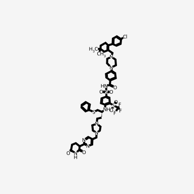 CC1(C)CCC(c2ccc(Cl)cc2)=C(CN2CCN(c3ccc(C(=O)NS(=O)(=O)c4ccc(N[C@H](CCN5CCN(Cc6cnc(C7CCC(=O)NC7=O)nc6)CC5)CSc5ccccc5)c(S(=O)(=O)C(F)(F)F)c4)cc3)CC2)C1